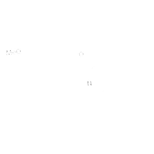 C=C1c2ccccc2C(=O)N1Cc1ccc(OC)cc1